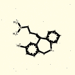 CN(C)CC/C=C1\c2cc([18F])ccc2CSc2ccccc21